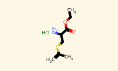 C=C(C)SCC(N)C(=O)OCC.Cl